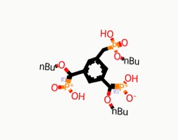 CCCCO/C(c1cc(CP(=O)(O)OCCCC)cc(/C(OCCCC)=[P+](/[O-])O)c1)=[P+](\[O-])O